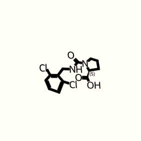 O=C(O)[C@@H]1CCCN1C(=O)NCc1c(Cl)cccc1Cl